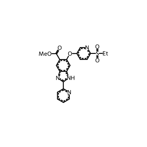 CCS(=O)(=O)c1ccc(Oc2cc3[nH]c(-c4ccccn4)nc3cc2C(=O)OC)cn1